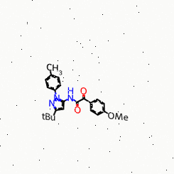 COc1ccc(C(=O)C(=O)Nc2cc(C(C)(C)C)nn2-c2ccc(C)cc2)cc1